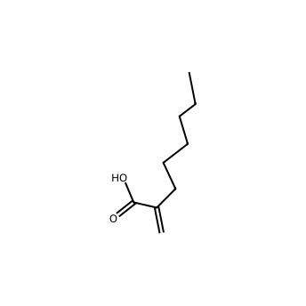 C=C(CCCCCC)C(=O)O